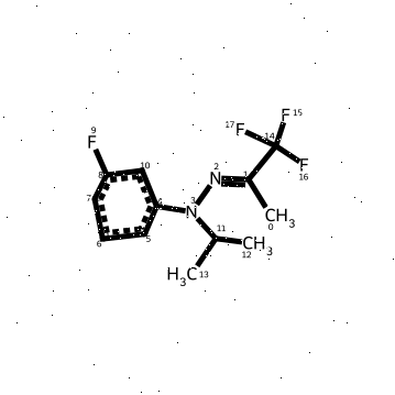 C/C(=N\N(c1cccc(F)c1)C(C)C)C(F)(F)F